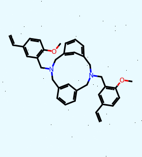 C=Cc1ccc(OC)c(CN2Cc3cccc(c3)CN(Cc3cc(C=C)ccc3OC)Cc3cccc(c3)C2)c1